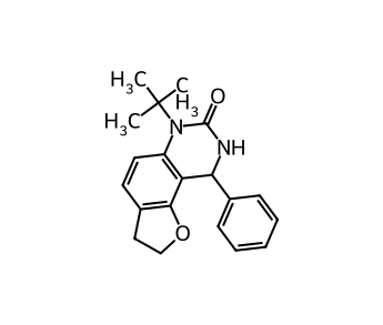 CC(C)(C)N1C(=O)NC(c2ccccc2)c2c1ccc1c2OCC1